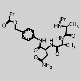 CC(C)N[C@@H](C)C(=O)N[C@@H](C)C(=O)N[C@@H](CC(N)=O)C(=O)Nc1ccc(COC(=O)C(C)C)cc1